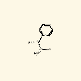 C[C@H](c1ccccc1)N(P)Cl